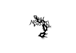 N#Cc1c(O)c2c(cc(Cl)n2-c2ccc(-c3ccccc3)cc2O)[nH]c1=O